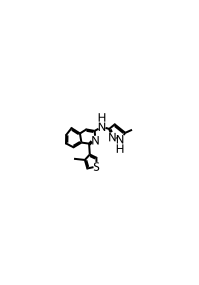 Cc1cc(Nc2cc3ccccc3c(-c3cscc3C)n2)n[nH]1